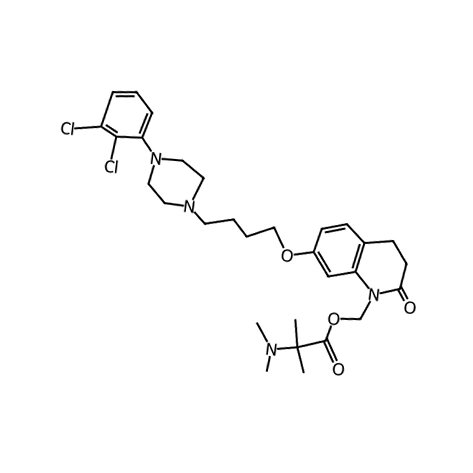 CN(C)C(C)(C)C(=O)OCN1C(=O)CCc2ccc(OCCCCN3CCN(c4cccc(Cl)c4Cl)CC3)cc21